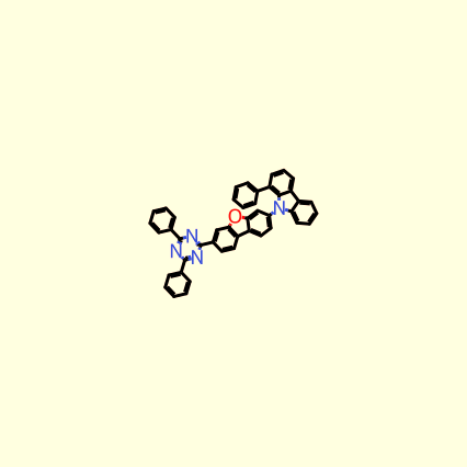 c1ccc(-c2nc(-c3ccccc3)nc(-c3ccc4c(c3)oc3cc(-n5c6ccccc6c6cccc(-c7ccccc7)c65)ccc34)n2)cc1